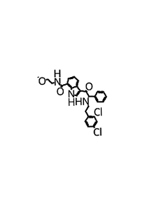 COCCNC(=O)c1cccc2c(C(=O)[C@H](NCCc3ccc(Cl)cc3Cl)c3ccccc3)c[nH]c12